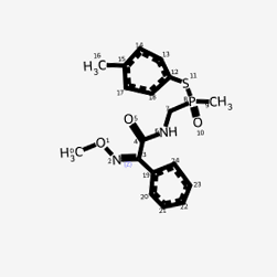 CO/N=C(\C(=O)NCP(C)(=O)Sc1ccc(C)cc1)c1ccccc1